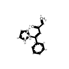 C=CC(=O)C=C(c1ccccc1)n1nccn1